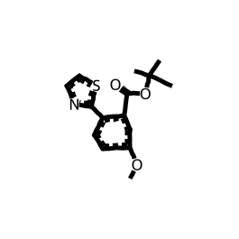 COc1ccc(-c2nccs2)c(C(=O)OC(C)(C)C)c1